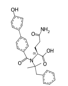 CC(C)(Cc1ccccc1)N(C(=O)c1ccc(-c2ccc(O)cc2)cc1)[C@@H](CCC(N)=O)C(=O)O